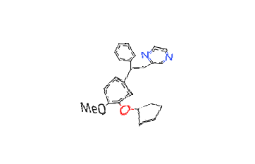 COc1ccc(C(=Cc2cnccn2)c2ccccc2)cc1OC1CCCC1